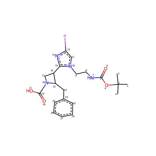 CC(C)(C)OC(=O)NCCn1cc(I)nc1C1CN(C(=O)O)C1Cc1ccccc1